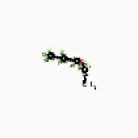 C/C=C/CCc1cc(F)c(C(F)(F)Oc2ccc(C#Cc3cc(F)c(C#Cc4cc(F)c(F)c(F)c4)c(F)c3)c(F)c2)c(F)c1